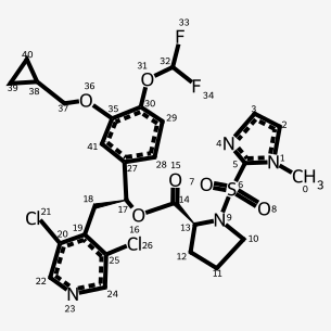 Cn1ccnc1S(=O)(=O)N1CCC[C@H]1C(=O)O[C@@H](Cc1c(Cl)cncc1Cl)c1ccc(OC(F)F)c(OCC2CC2)c1